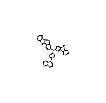 c1ccc2c(-c3ccc(N(c4ccc5c(ccc6c7ccccc7sc56)c4)c4ccc5sc6ccccc6c5c4)cc3)cccc2c1